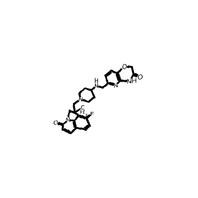 CC1(CN2CCC(NCc3ccc4c(n3)NC(=O)CO4)CC2)Cn2c(=O)ccc3ccc(F)c1c32